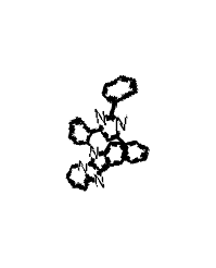 c1ccc(-c2cc(-c3ccccc3-n3c4ccccc4c4nc5ccccn5c43)nc(-c3ccccc3)n2)cc1